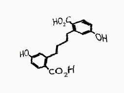 O=C(O)c1ccc(O)cc1CCCCc1cc(O)ccc1C(=O)O